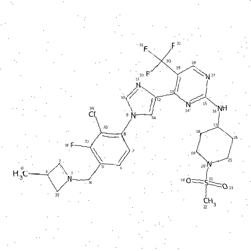 CC1CN(Cc2ccc(-n3cnc(-c4nc(NC5CCN(S(C)(=O)=O)CC5)ncc4C(F)(F)F)c3)c(Cl)c2F)C1